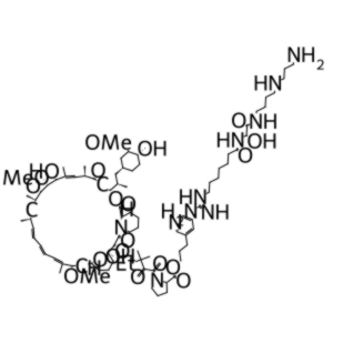 CCC(C)(C)C(=O)C(=O)N1CCCC1C(=O)OCCCc1cccnc1.CO[C@H]1C[C@@H]2CC[C@@H](C)[C@@](O)(O2)C(=O)C(=O)N2CCCC[C@H]2C(=O)O[C@H]([C@H](C)C[C@@H]2CC[C@@H](O)[C@H](OC)C2)CC(=O)[C@H](C)/C=C(\C)[C@@H](O)[C@@H](OC)C(=O)[C@H](C)C[C@H](C)/C=C/C=C/C=C/1C.N=C(N)NCCCCCCC(=O)NC(O)C(=O)NCCCCNCCCN